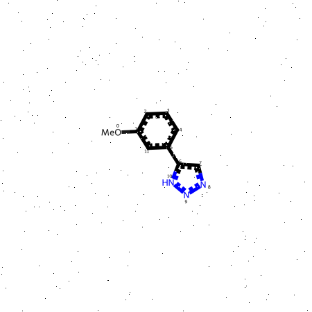 COc1cccc(-c2[c]nn[nH]2)c1